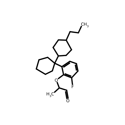 CCCC1CCC(C2(c3cccc(F)c3OC(C)C=O)CCCCC2)CC1